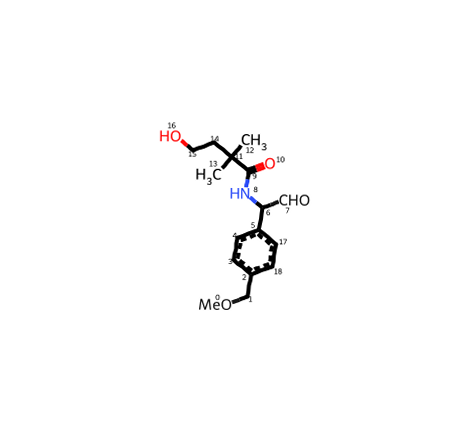 COCc1ccc(C(C=O)NC(=O)C(C)(C)CCO)cc1